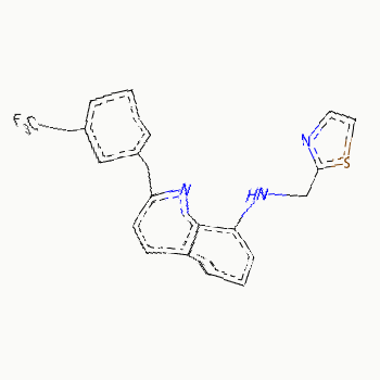 FC(F)(F)c1cccc(-c2ccc3cccc(NCc4nccs4)c3n2)c1